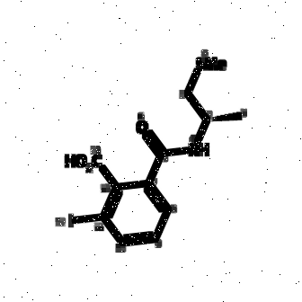 CSC[C@H](C)NC(=O)c1cccc(I)c1C(=O)O